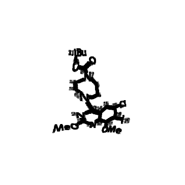 COc1nc(N2CCN(C(=O)OC(C)(C)C)CC2)c2cc(Cl)c(I)c(OC)c2n1